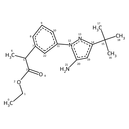 CCOC(=O)C(C)c1cccc(-n2nc(C(C)(C)C)cc2N)c1